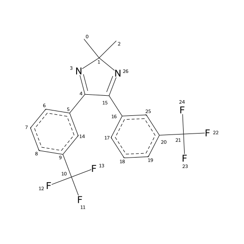 CC1(C)N=C(c2cccc(C(F)(F)F)c2)C(c2cccc(C(F)(F)F)c2)=N1